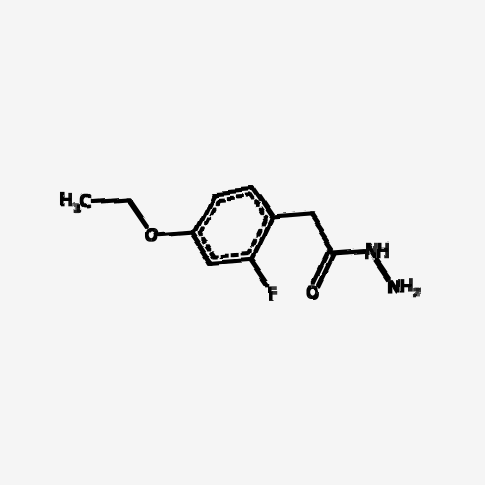 CCOc1ccc(CC(=O)NN)c(F)c1